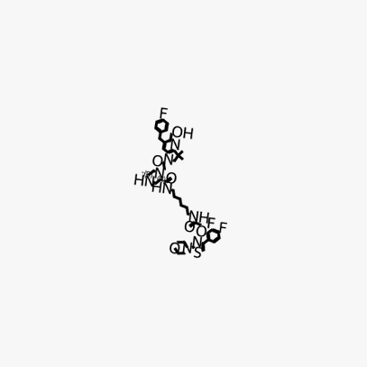 C[C@@H]1CN(CC(=O)N2CC(C)(C)c3nc(CO)c(Cc4ccc(F)cc4)cc32)[C@@H](C(=O)NCCCCCCNC(=O)COc2c(-c3csc(N4CCOCC4)n3)ccc(F)c2F)CN1